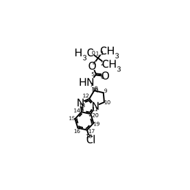 CC(C)(C)OC(=O)N[C@@H]1CCn2c1nc1ccc(Cl)cc12